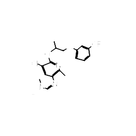 CCN(C)/C=N\c1cc(Cl)c(OC(C)COc2cccc(C(F)(F)F)c2)nc1C